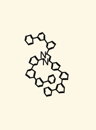 c1ccc(-c2cccc(-c3cccc(-c4ccc(-c5cc(-c6cccc(-c7cccc(-c8ccccc8)c7)c6)nc(-c6cccc(-c7cccc(-c8cccc(-c9ccccc9)c8)c7)c6)n5)cc4)c3)c2)cc1